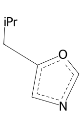 CC(C)Cc1cnco1